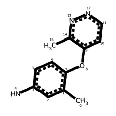 Cc1cc([NH])ccc1Oc1ccnnc1C